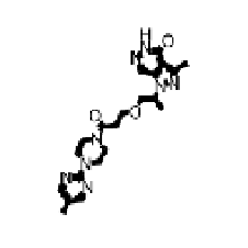 Cc1cnc(N2CCN(C(=O)CCOCC(C)n3nc(C)c4c(=O)[nH]ncc43)CC2)nc1